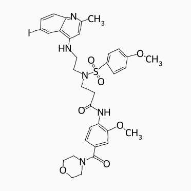 COc1ccc(S(=O)(=O)N(CCNc2cc(C)nc3ccc(I)cc23)CCC(=O)Nc2ccc(C(=O)N3CCOCC3)cc2OC)cc1